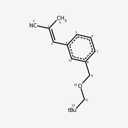 CC(C#N)=Cc1cccc(COCC(C)(C)C)c1